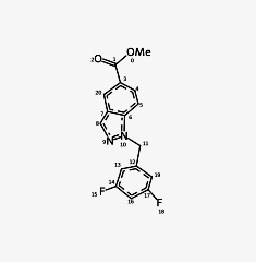 COC(=O)c1ccc2c(cnn2Cc2cc(F)cc(F)c2)c1